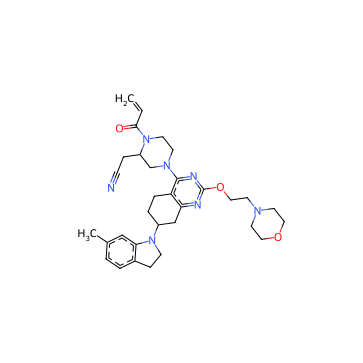 C=CC(=O)N1CCN(c2nc(OCCN3CCOCC3)nc3c2CCC(N2CCc4ccc(C)cc42)C3)CC1CC#N